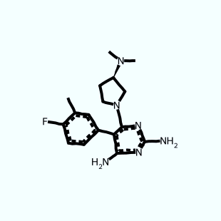 Cc1cc(-c2c(N)nc(N)nc2N2CC[C@@H](N(C)C)C2)ccc1F